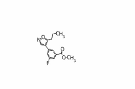 CCCc1oncc1-c1cc(F)cc(C(=O)OC)c1